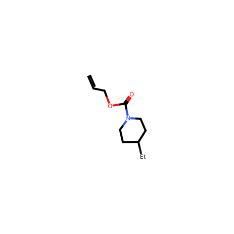 C=CCOC(=O)N1CCC(CC)CC1